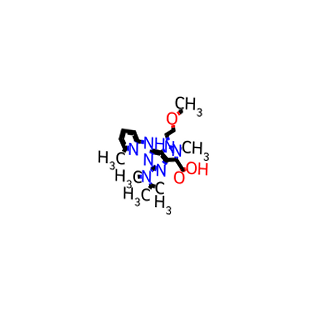 CCOCCN1c2c(Nc3cccc(C)n3)nc(N(C)C(C)C)nc2C(C(=O)O)N1C